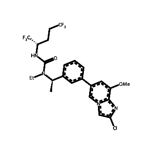 CCN(C(=O)N[C@@H](CCC(F)(F)F)C(F)(F)F)[C@H](C)c1cccc(-c2cc(OC)c3nc(Cl)cn3c2)c1